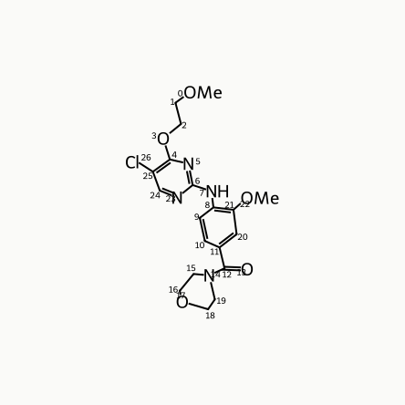 COCCOc1nc(Nc2ccc(C(=O)N3CCOCC3)cc2OC)ncc1Cl